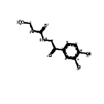 CCOC(=O)NCC(=O)c1ccc(O)c(Cl)c1